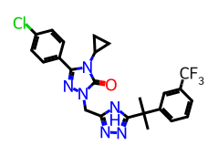 CC(C)(c1cccc(C(F)(F)F)c1)c1nnc(Cn2nc(-c3ccc(Cl)cc3)n(C3CC3)c2=O)[nH]1